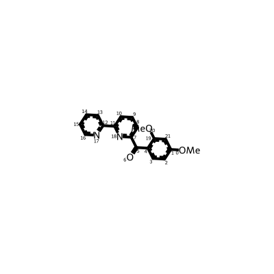 COc1ccc(C(=O)c2cccc(-c3ccccn3)n2)c(OC)c1